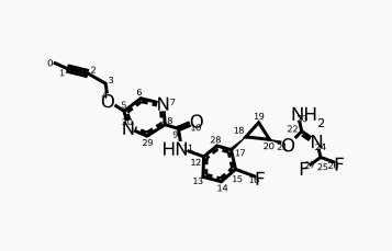 CC#CCOc1cnc(C(=O)Nc2ccc(F)c([C@H]3C[C@H]3O/C(N)=N\C(F)F)c2)cn1